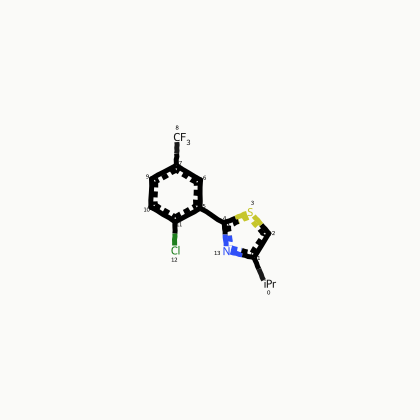 CC(C)c1csc(-c2cc(C(F)(F)F)ccc2Cl)n1